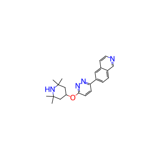 CC1(C)CC(Oc2ccc(-c3ccc4cnccc4c3)nn2)CC(C)(C)N1